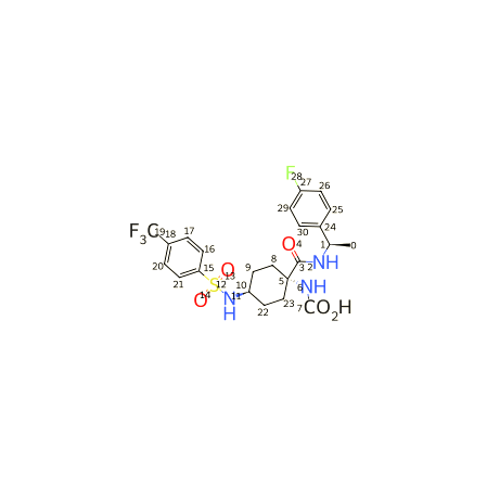 C[C@@H](NC(=O)[C@]1(NC(=O)O)CC[C@H](NS(=O)(=O)c2ccc(C(F)(F)F)cc2)CC1)c1ccc(F)cc1